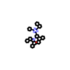 c1ccc(-c2nc(-c3cc(-n4c5ccc6ccccc6c5c5c6ccccc6ccc54)c4c5ccccc5c5ccccc5c4c3)nc(-c3cccc4ccccc34)n2)cc1